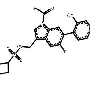 CC(C)C(=O)n1cc(CNS(=O)(=O)C2CCC2)c2cc(F)c(-c3ccccc3C(F)(F)F)cc21